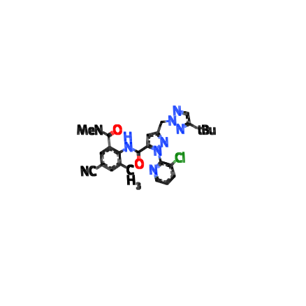 CNC(=O)c1cc(C#N)cc(C)c1NC(=O)c1cc(Cn2ncc(C(C)(C)C)n2)nn1-c1ncccc1Cl